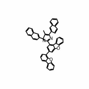 Cc1c(-c2ccc3ccccc3c2)nc(-c2cc(-c3cccc4c3oc3ccccc34)cc3oc4ccccc4c23)nc1-c1ccc2ccccc2c1